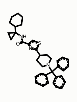 O=C(NC1(C2CCCCC2)CC1)c1csc(C2CCN(C(c3ccccc3)(c3ccccc3)c3ccccc3)CC2)n1